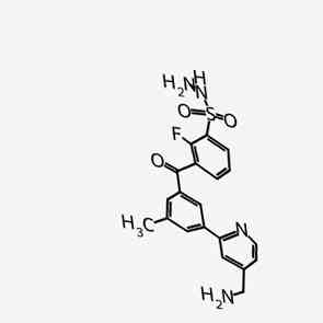 Cc1cc(C(=O)c2cccc(S(=O)(=O)NN)c2F)cc(-c2cc(CN)ccn2)c1